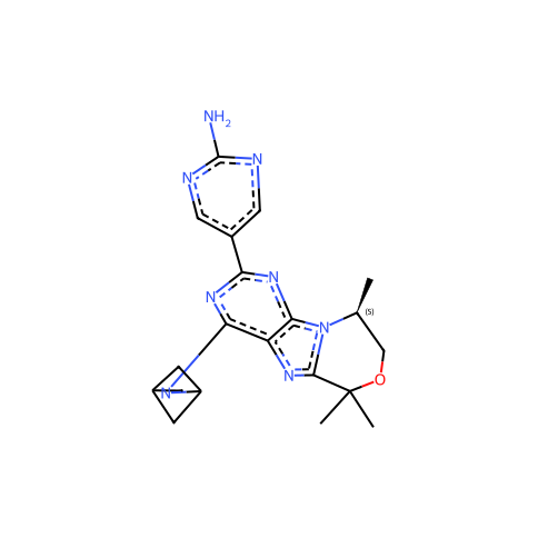 C[C@H]1COC(C)(C)c2nc3c(N4CC5CC4C5)nc(-c4cnc(N)nc4)nc3n21